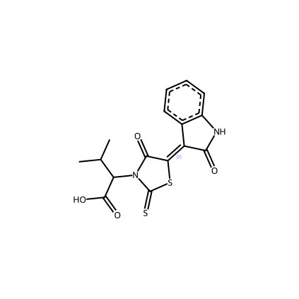 CC(C)C(C(=O)O)N1C(=O)/C(=C2/C(=O)Nc3ccccc32)SC1=S